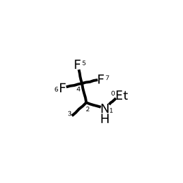 CCNC(C)C(F)(F)F